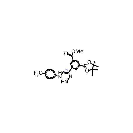 COC(=O)c1cc(B2OC(C)(C)C(C)(C)O2)cc(/C(=C/Nc2ccc(C(F)(F)F)cc2)N=N)c1